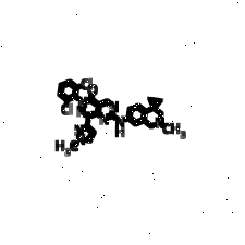 CN1Cc2cc(Nc3ncc4c(=O)n(-c5c(Cl)cccc5Cl)nc(-c5ccn(C)n5)c4n3)ccc2C2(CC2)C1